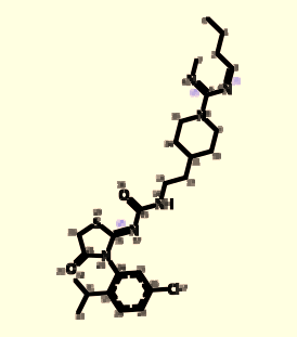 CCC/C=N\C(=N/C)N1CCC(CCNC(=O)/N=C2\SCC(=O)N2c2cc(Cl)ccc2C(C)C)CC1